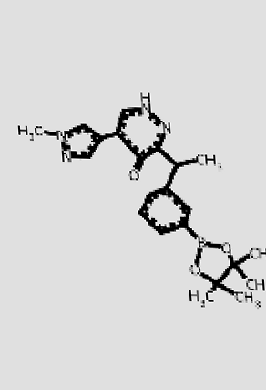 CC(c1cccc(B2OC(C)(C)C(C)(C)O2)c1)c1n[nH]cc(-c2cnn(C)c2)c1=O